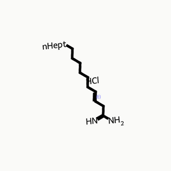 CCCCCCCCCCCCC/C=C/CC(=N)N.Cl